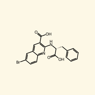 O=C(O)c1cc2cc(Br)ccc2nc1N[C@H](Cc1ccccc1)C(=O)O